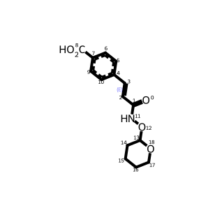 O=C(/C=C/c1ccc(C(=O)O)cc1)NOC1CCCCO1